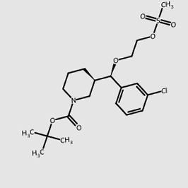 CC(C)(C)OC(=O)N1CCC[C@@H]([C@@H](OCCOS(C)(=O)=O)c2cccc(Cl)c2)C1